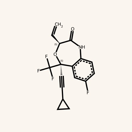 C=C[C@@H]1O[C@](C#CC2CC2)(C(F)(F)F)c2cc(F)ccc2NC1=O